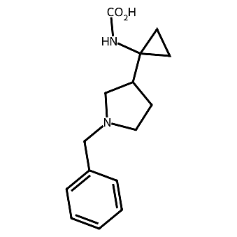 O=C(O)NC1(C2CCN(Cc3ccccc3)C2)CC1